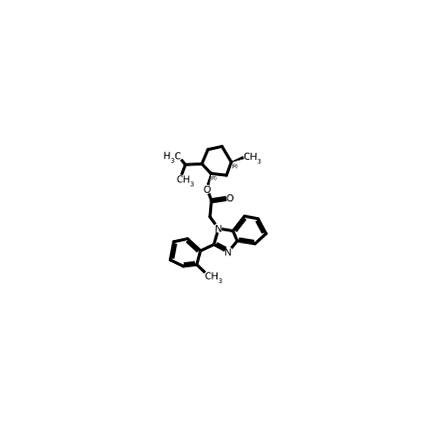 Cc1ccccc1-c1nc2ccccc2n1CC(=O)O[C@@H]1C[C@H](C)CCC1C(C)C